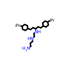 CC(C)C1CCC(CCC(CCC2CCC(C(C)C)CC2)NCCNCCCN)CC1